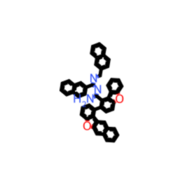 N/C(=N\C(=N/Cc1ccc2ccccc2c1)c1ccc2ccccc2c1)c1c(-c2cccc3oc4cc5ccccc5cc4c23)ccc2oc3ccccc3c12